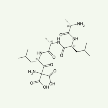 CC(C)C[C@H](NC(=O)[C@H](C)N)C(=O)N[C@@H](C)C(=O)N[C@@H](CC(C)C)C(=O)C(N)(C(=O)O)C(=O)O